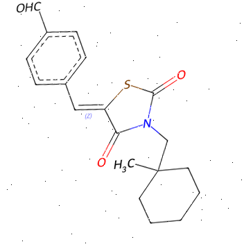 CC1(CN2C(=O)S/C(=C\c3ccc(C=O)cc3)C2=O)CCCCC1